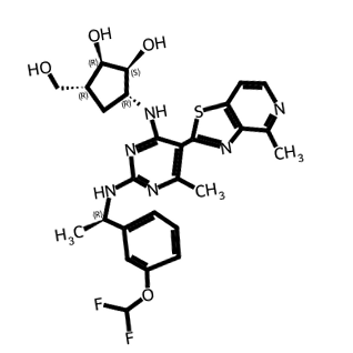 Cc1nc(N[C@H](C)c2cccc(OC(F)F)c2)nc(N[C@@H]2C[C@H](CO)[C@@H](O)[C@H]2O)c1-c1nc2c(C)nccc2s1